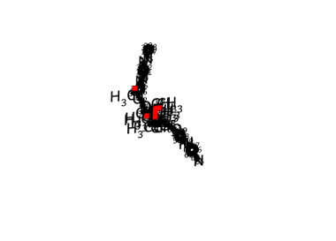 CCC(C)(C)CC(C)(C(=O)OCCOc1ccc(/N=N/c2ccc(/N=N/c3ccccc3)cc2)cc1C)C(CC)(CC)C(C)(C)CC(C)(C(=O)OCCOc1ccc(/N=N/c2ccc(C#N)cc2)cc1)C(C)(C)CC